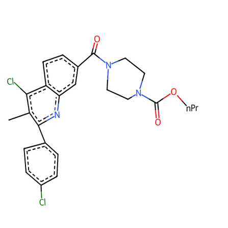 CCCOC(=O)N1CCN(C(=O)c2ccc3c(Cl)c(C)c(-c4ccc(Cl)cc4)nc3c2)CC1